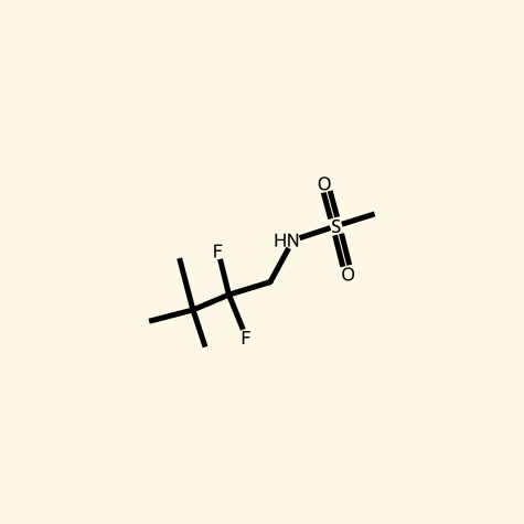 CC(C)(C)C(F)(F)CNS(C)(=O)=O